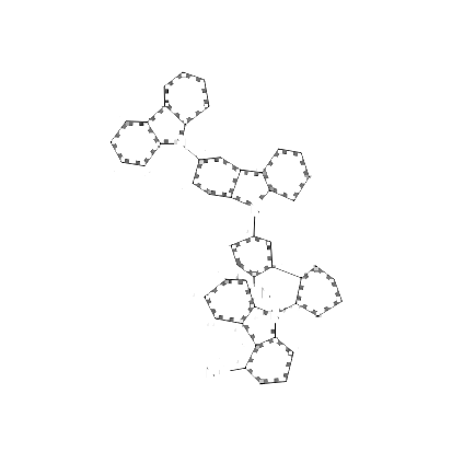 N#Cc1ccc(-n2c3ccccc3c3cc(-n4c5ccccc5c5ccccc54)ccc32)cc1-c1ccccc1-n1c2ccccc2c2c(C#N)cccc21